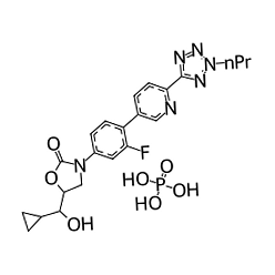 CCCn1nnc(-c2ccc(-c3ccc(N4CC(C(O)C5CC5)OC4=O)cc3F)cn2)n1.O=P(O)(O)O